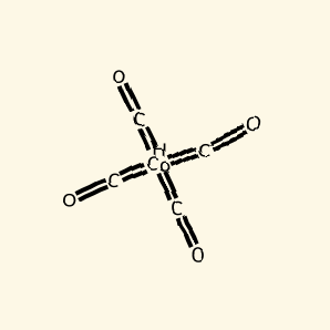 O=[C]=[CoH](=[C]=O)(=[C]=O)=[C]=O